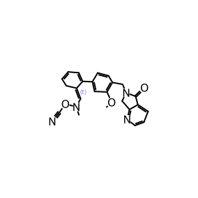 COc1cc(C2=CC=CC/C2=C\N(C)OC#N)ccc1CN1Cc2ncccc2C1=O